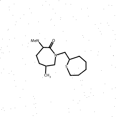 CNC1CCC(C)CN(CC2CCCCCS2)C1=O